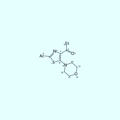 CCC(=O)c1nc(C(C)=O)sc1N1CCOCC1